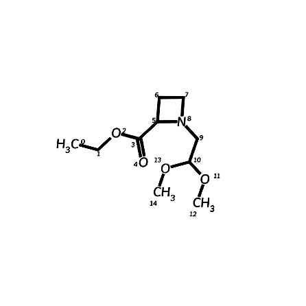 CCOC(=O)C1CCN1CC(OC)OC